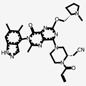 C=CC(=O)N1CCN(c2nc(OC[C@@H]3CCCN3C)nc3c(=O)n(-c4c(C)c(C)cc5[nH]ncc45)c(C)nc23)C[C@@H]1CC#N